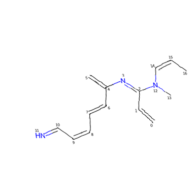 C=C/C(=N\C(=C)/C=C/C=C\C=N)N(C)/C=C\C